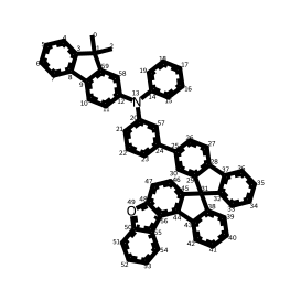 CC1(C)c2ccccc2-c2ccc(N(c3ccccc3)c3cccc(-c4ccc5c(c4)C4(c6ccccc6-5)c5ccccc5-c5c4ccc4oc6ccccc6c54)c3)cc21